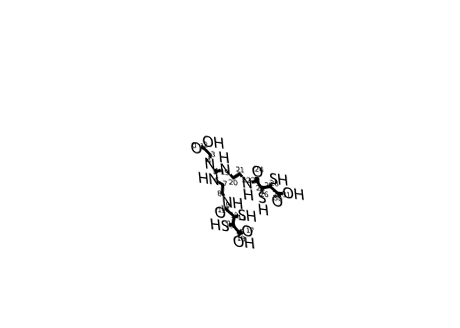 O=C(O)CN=C(NCCNC(=O)C(S)C(S)C(=O)O)NCCNC(=O)C(S)C(S)C(=O)O